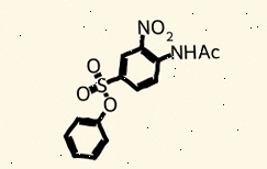 CC(=O)Nc1ccc(S(=O)(=O)Oc2ccccc2)cc1[N+](=O)[O-]